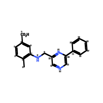 Cc1ccc(C(=O)O)cc1NCc1cncc(-c2ccccc2)n1